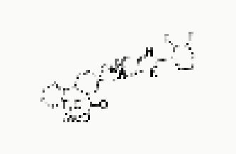 COC(=O)C1(C(F)(F)F)CC(Cn2cc3nc(-c4cccc(F)c4F)nc-3cn2)(OC)C=CC1c1ccccc1